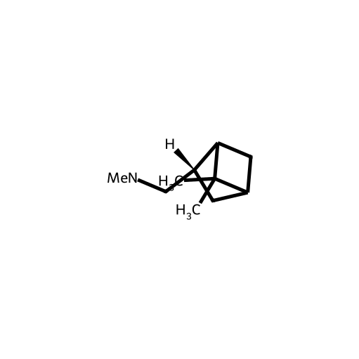 CNC[C@H]1CC2CC1C2(C)C